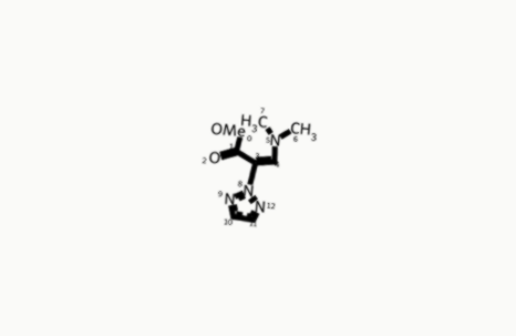 COC(=O)C(=CN(C)C)n1nccn1